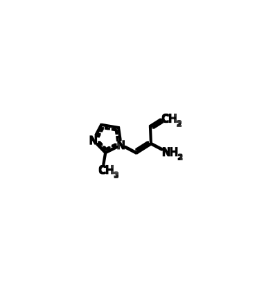 C=C/C(N)=C\n1ccnc1C